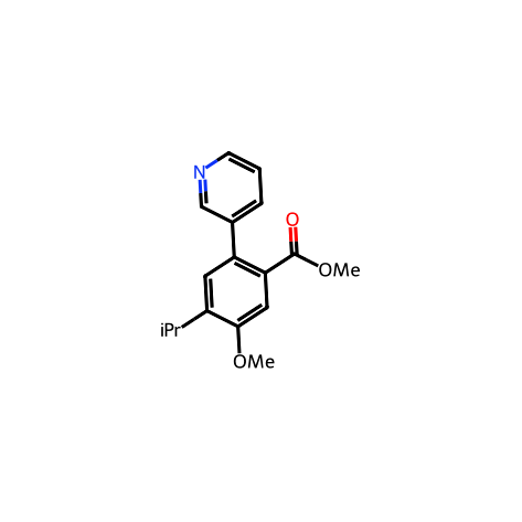 COC(=O)c1cc(OC)c(C(C)C)cc1-c1cccnc1